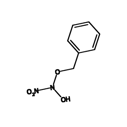 O=[N+]([O-])N(O)OCc1ccccc1